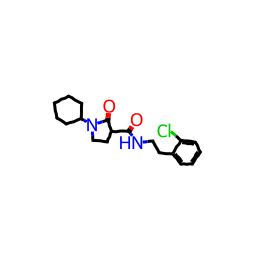 O=C(NCCc1ccccc1Cl)C1CCN(C2CCCCC2)C1=O